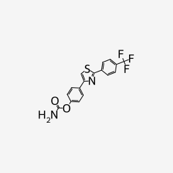 NC(=O)Oc1ccc(-c2csc(-c3ccc(C(F)(F)F)cc3)n2)cc1